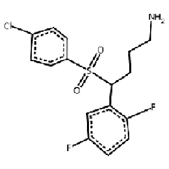 NCCCC(c1cc(F)ccc1F)S(=O)(=O)c1ccc(Cl)cc1